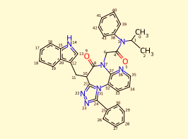 CC(C)N(C(=O)CN1C(=O)C(Cc2c[nH]c3ccccc23)c2nnc(-c3ccccc3)n2-c2cccnc21)c1ccccc1